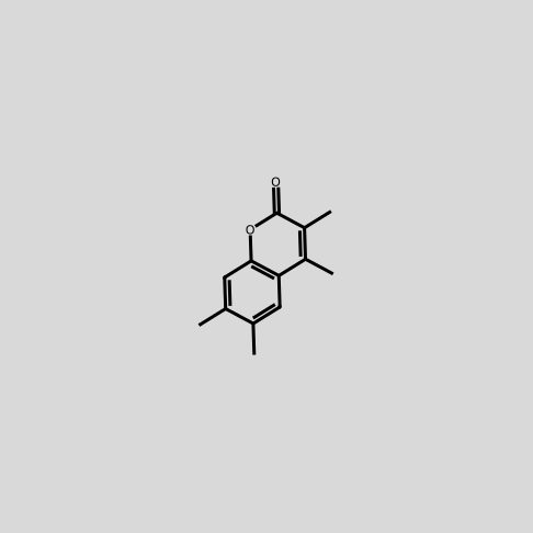 Cc1cc2oc(=O)c(C)c(C)c2cc1C